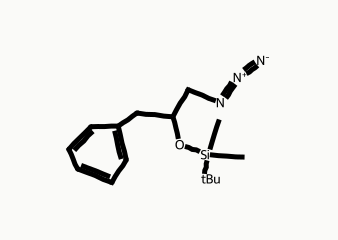 CC(C)(C)[Si](C)(C)OC(CN=[N+]=[N-])Cc1ccccc1